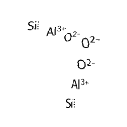 [Al+3].[Al+3].[O-2].[O-2].[O-2].[Si].[Si]